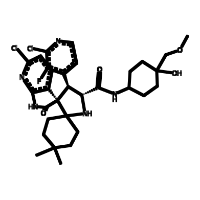 COCC1(O)CCC(NC(=O)[C@@H]2NC3(CCC(C)(C)CC3)[C@@]3(C(=O)Nc4nc(Cl)ccc43)[C@H]2c2ccnc(Cl)c2F)CC1